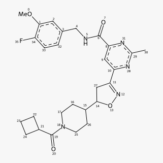 COc1cc(CNC(=O)c2cc(C3=NOC(C4CCN(C(=O)C5CCC5)CC4)C3)nc(C)n2)ccc1F